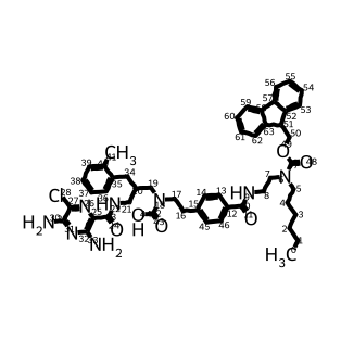 CCCCCCN(CCNC(=O)c1ccc(CCN(CC(CNC(=O)c2nc(Cl)c(N)nc2N)Cc2ccccc2C)C(=O)O)cc1)C(=O)OCC1c2ccccc2-c2ccccc21